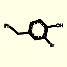 CC(C)Cc1ccc(O)c(Br)c1